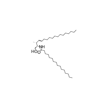 CCCCCCCCCCCCC/C=C/[C@@H](C)[C@H](CO)NC(=O)CCCCCCCCCCCCCCC